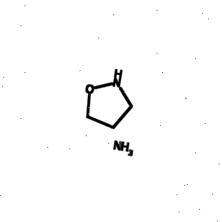 C1CNOC1.N